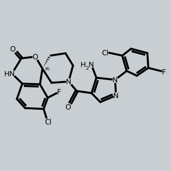 Nc1c(C(=O)N2CCC[C@@]3(C2)OC(=O)Nc2ccc(Cl)c(F)c23)cnn1-c1cc(F)ccc1Cl